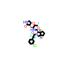 O=C1NCC[C@@H]1C[C@H](NC(=O)[C@H]1[C@H]2CCC[C@H]2CN1C(=O)C(F)(F)c1cccc(Cl)c1)C(=O)CF